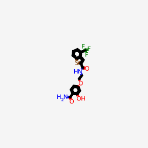 NC(=O)c1ccc(OCCNC(=O)c2cc3c(C(F)(F)F)cccc3s2)cc1O